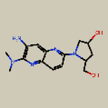 CN(C)c1nc2ccc(N3CC(O)CC3CO)nc2cc1N